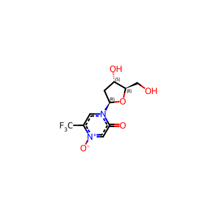 O=c1c[n+]([O-])c(C(F)(F)F)cn1[C@H]1C[C@H](O)[C@@H](CO)O1